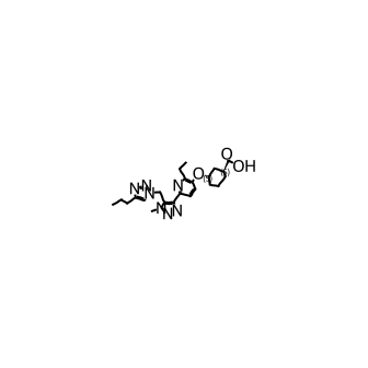 CCCc1cn(Cc2c(-c3ccc(O[C@H]4CCC[C@H](C(=O)O)C4)c(CC)n3)nnn2C)nn1